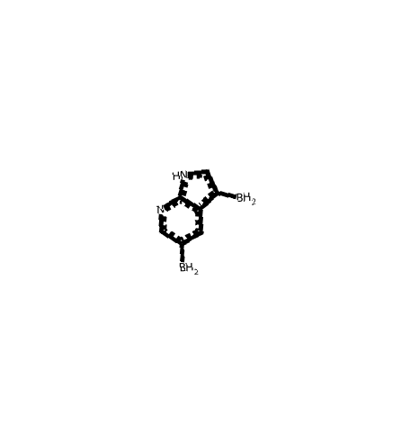 Bc1cnc2[nH]cc(B)c2c1